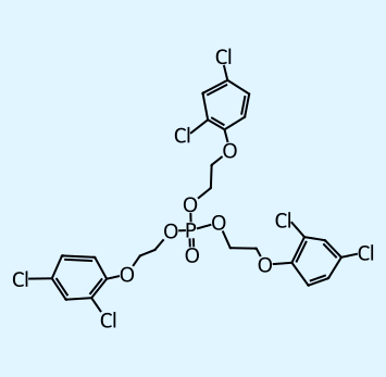 O=P(OCCOc1ccc(Cl)cc1Cl)(OCCOc1ccc(Cl)cc1Cl)OCCOc1ccc(Cl)cc1Cl